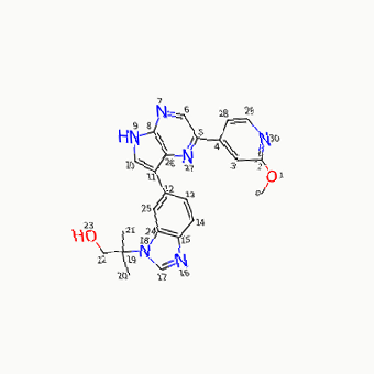 COc1cc(-c2cnc3[nH]cc(-c4ccc5ncn(C(C)(C)CO)c5c4)c3n2)ccn1